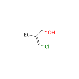 [CH2]CC(=CCl)CO